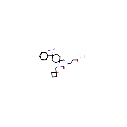 CN(C)C1(c2ccccc2)CCC2(CC1)CN(CCC(N)=O)C(=O)N2CC1(O)CCC1